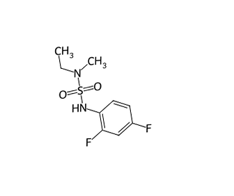 CCN(C)S(=O)(=O)Nc1ccc(F)cc1F